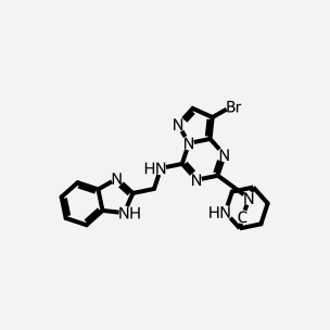 Brc1cnn2c(NCc3nc4ccccc4[nH]3)nc(N3CC4CCC3CN4)nc12